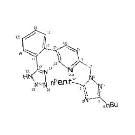 CCCCCc1nc(CCCC)nn1Cc1ccc(-c2ccccc2-c2nnn[nH]2)cn1